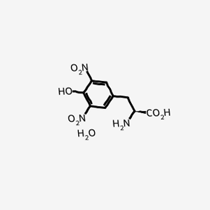 N[C@@H](Cc1cc([N+](=O)[O-])c(O)c([N+](=O)[O-])c1)C(=O)O.O